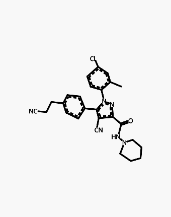 Cc1cc(Cl)ccc1-n1nc(C(=O)NN2CCCCC2)c(C#N)c1-c1ccc(CCC#N)cc1